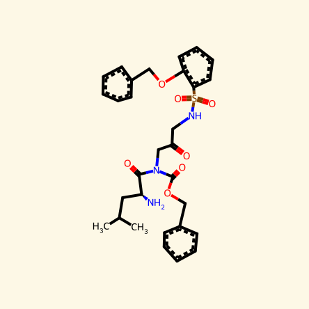 CC(C)C[C@H](N)C(=O)N(CC(=O)CNS(=O)(=O)c1ccccc1OCc1ccccc1)C(=O)OCc1ccccc1